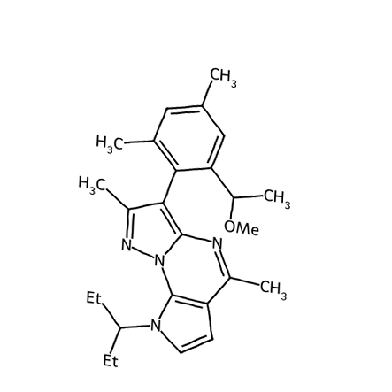 CCC(CC)n1ccc2c(C)nc3c(-c4c(C)cc(C)cc4C(C)OC)c(C)nn3c21